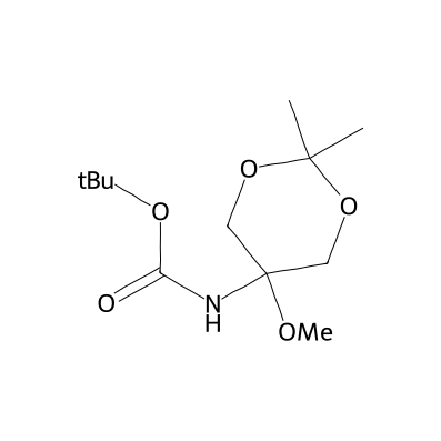 COC1(NC(=O)OC(C)(C)C)COC(C)(C)OC1